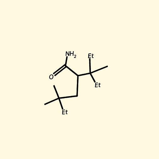 CCC(C)(C)CC(C(N)=O)C(C)(CC)CC